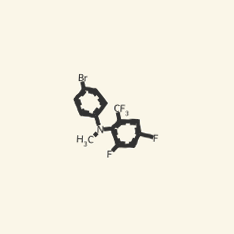 CN(c1ccc(Br)cc1)c1c(F)cc(F)cc1C(F)(F)F